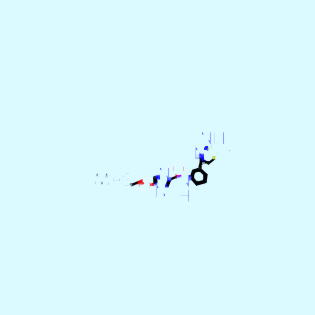 CSCCOc1cnc(C(=O)Nc2cccc([C@]3(C)CCSC(N)=N3)c2)cn1